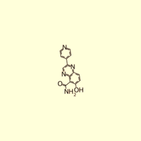 NC(=O)c1c(O)ccc2nc(-c3ccncc3)cnc12